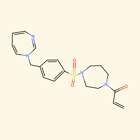 C=CC(=O)N1CCCN(S(=O)(=O)c2ccc(CN3C=CC=CN=C3)cc2)CC1